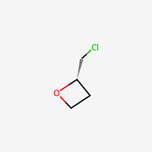 ClC[C@@H]1CCO1